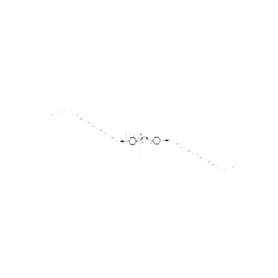 CCCCCCCCCCCCCCCCCCCCCCCCCCC#Cc1ccc(N=CC(CCCCCC)=Nc2ccc(C#CCCCCCCCCCCCCCCCCCCCCCCCCCC)cc2)cc1.[Pd]